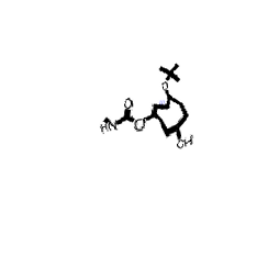 CNC(=O)OC1/C=C/C(OC(C)(C)C)CCC(O)C1